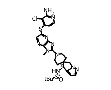 Cn1c(N2CCC3(CC2)Cn2nccc2[C@H]3N[S+]([O-])C(C)(C)C)nc2nc(Sc3ccnc(N)c3Cl)cnc21